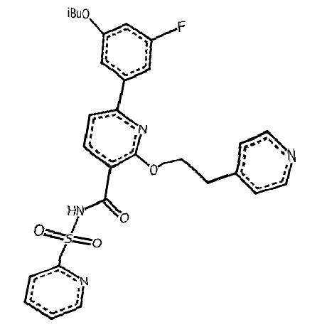 CC(C)COc1cc(F)cc(-c2ccc(C(=O)NS(=O)(=O)c3ccccn3)c(OCCc3ccncc3)n2)c1